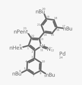 CCCCCCC1=C(c2cc(CCCC)cc(CCCC)c2)[N+](=[N-])C(c2cc(CCCC)cc(CCCC)c2)=C1CCCCC.[Pd]